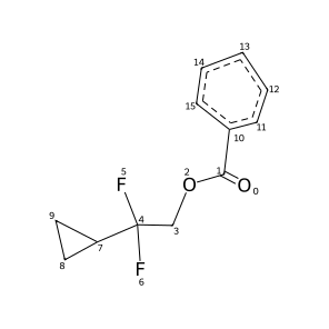 O=C(OCC(F)(F)C1CC1)c1ccccc1